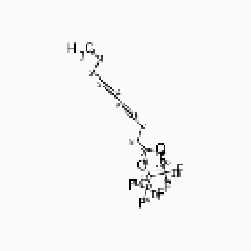 CCCC#CC#CCCC(=O)OC(C(F)(F)F)C(F)(F)F